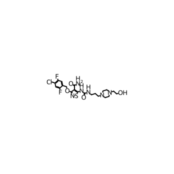 NC(=O)c1c(OCc2cc(F)c(Cl)cc2F)nsc1NC(=O)NCCCN1CCN(CCO)CC1